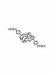 CCCCCCc1ccc(-c2cccc3c2C=C(CCC)C3[Si](C)(C)C2C(CCC)=Cc3c(-c4ccc(CCCCCC)cc4)cccc32)cc1